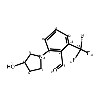 O=Cc1c(N2CCC(O)C2)cccc1C(F)(F)F